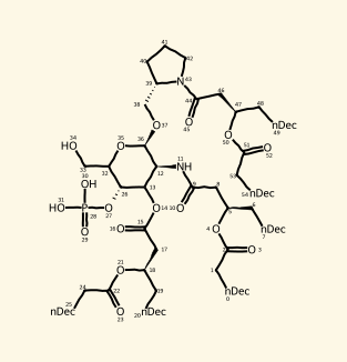 CCCCCCCCCCCC(=O)O[C@H](CCCCCCCCCCC)CC(=O)N[C@H]1C(OC(=O)C[C@@H](CCCCCCCCCCC)OC(=O)CCCCCCCCCCC)[C@H](OP(=O)(O)O)C(CO)O[C@H]1OC[C@@H]1CCCN1C(=O)C[C@@H](CCCCCCCCCCC)OC(=O)CCCCCCCCCCC